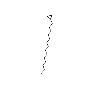 CC(=O)CCCCCCCCCCCCCCC1CC1